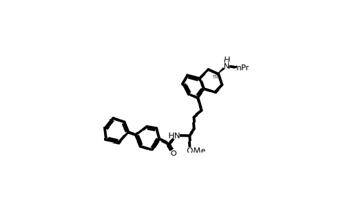 CCCN[C@H]1CCc2c(CCCC(NC(=O)c3ccc(-c4ccccc4)cc3)OC)cccc2C1